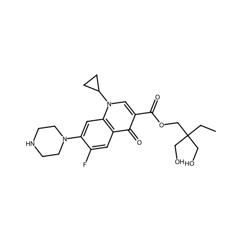 CCC(CO)(CO)COC(=O)c1cn(C2CC2)c2cc(N3CCNCC3)c(F)cc2c1=O